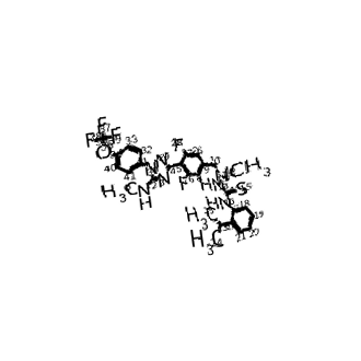 CNc1nc(-c2c(F)cc(CN(C)NC(=S)Nc3ccccc3C(C)C)cc2F)nn1-c1ccc(OC(F)(F)F)cc1